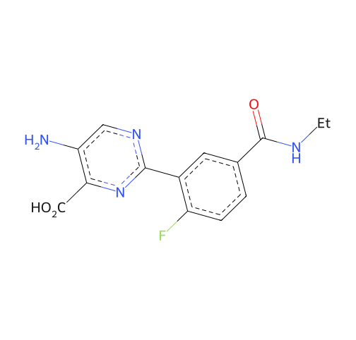 CCNC(=O)c1ccc(F)c(-c2ncc(N)c(C(=O)O)n2)c1